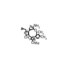 COc1cc2n(n1)-c1ccc(C)cc1[C@@H](C)Oc1cc(cnc1N)-c1c(c(C)nn1CC1CC1)C2